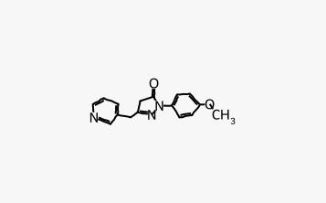 COc1ccc(N2N=C(Cc3cccnc3)CC2=O)cc1